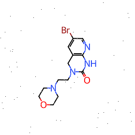 O=C1Nc2ncc(Br)cc2CN1CCN1CCOCC1